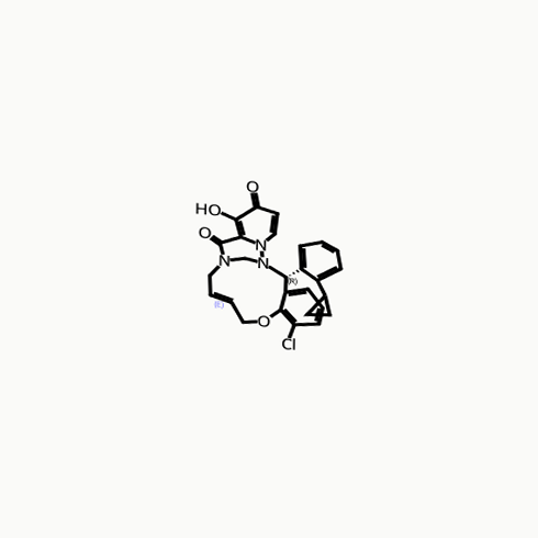 O=C1c2c(O)c(=O)ccn2N2CN1C/C=C/COc1c(Cl)cccc1[C@H]2c1ccccc1C1CC1